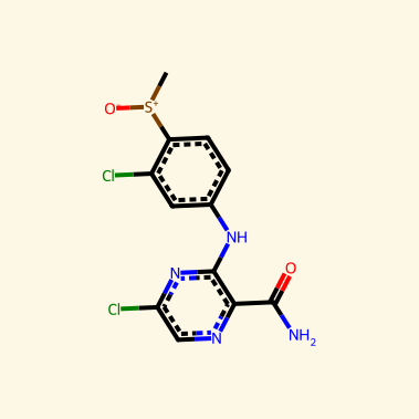 C[S+]([O-])c1ccc(Nc2nc(Cl)cnc2C(N)=O)cc1Cl